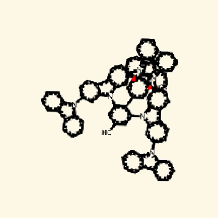 N#Cc1cc(C#N)cc(-c2c(-n3c4cc(-n5c6ccccc6c6ccccc65)ccc4c4ccc(-n5c6ccccc6c6ccccc65)cc43)cc(C#N)cc2-n2c3cc(-n4c5ccccc5c5ccccc54)ccc3c3ccc(-n4c5ccccc5c5ccccc54)cc32)c1